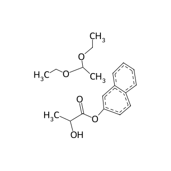 CC(O)C(=O)Oc1ccc2ccccc2c1.CCOC(C)OCC